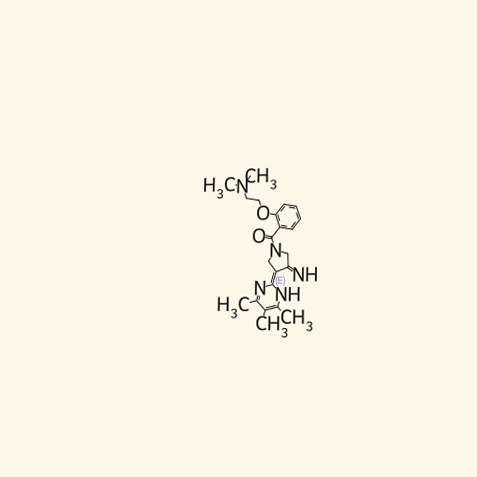 CC1=N/C(=C2\CN(C(=O)c3ccccc3OCCN(C)C)CC2=N)NC(C)=C1C